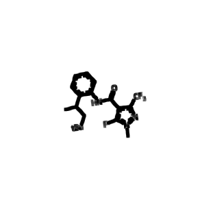 CC(CC(C)(C)C)c1ccccc1NC(=O)c1c(C(F)(F)F)nn(C)c1F